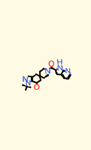 CC(C)(C)n1ncc2c1C(=O)CC1(CCN(C(=O)C3Cc4cccnc4N3)CC1)C2